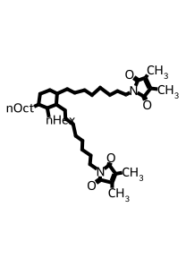 CCCCCCCCC1CCC(CCCCCCCCN2C(=O)C(C)=C(C)C2=O)C(CCCCCCCCN2C(=O)C(C)=C(C)C2=O)C1CCCCCC